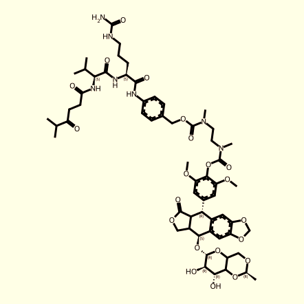 COc1cc([C@@H]2c3cc4c(cc3[C@@H](O[C@@H]3OC5CO[C@@H](C)OC5[C@H](O)[C@H]3O)C3COC(=O)C32)OCO4)cc(OC)c1OC(=O)N(C)CCN(C)C(=O)OCc1ccc(NC(=O)[C@H](CCCNC(N)=O)NC(=O)[C@@H](NC(=O)CCC(=O)C(C)C)C(C)C)cc1